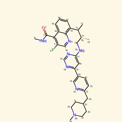 CNC(=O)c1c(F)cnc2c(C(C)[C@H](C)CNc3cc(-c4ccc(CC5CCN(C)CC5)nc4)ncn3)cccc12